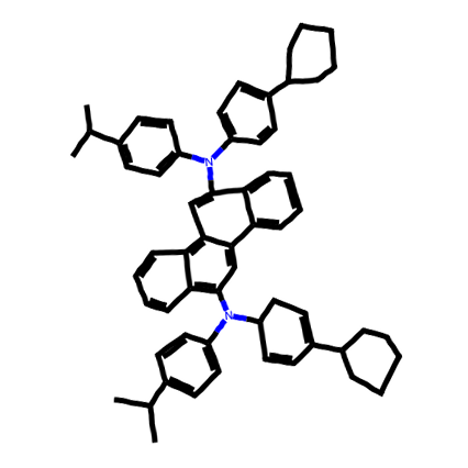 CC(C)c1ccc(N(c2ccc(C3CCCCC3)cc2)c2cc3c4ccccc4c(N(c4ccc(C(C)C)cc4)C4C=CC(C5CCCCC5)=CC4)cc3c3ccccc23)cc1